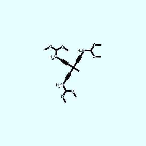 COC(OC)[SiH2]C#CC(C)(C#C[SiH2]C(OC)OC)C#C[SiH2]C(OC)OC